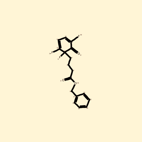 O=C(CCCC1(F)C(=O)C(F)=CC=C1F)OCc1ccccc1